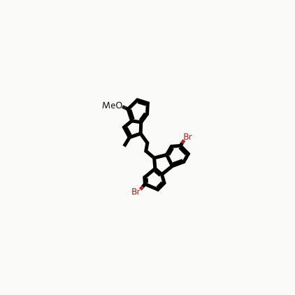 COc1cccc2c1C=C(C)C2CCC1c2cc(Br)ccc2-c2ccc(Br)cc21